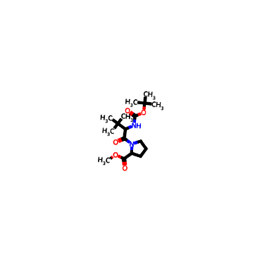 COC(=O)C1CCCN1C(=O)C(NC(=O)OC(C)(C)C)C(C)(C)C